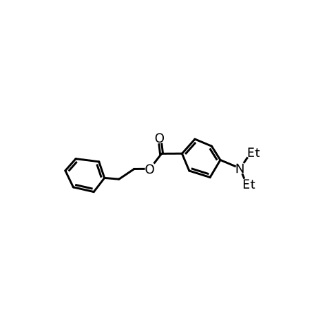 CCN(CC)c1ccc(C(=O)OCCc2ccccc2)cc1